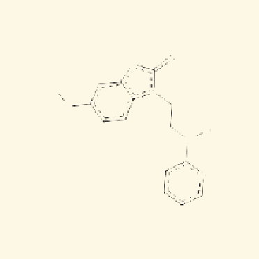 N=c1sc2cc(OC(F)(F)F)ccc2n1CC[S+]([O-])c1ccccn1